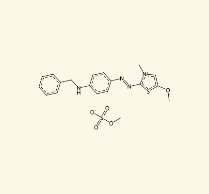 COS(=O)(=O)[O-].COc1c[n+](C)c(N=Nc2ccc(NCc3ccccc3)cc2)s1